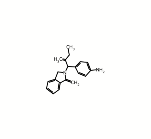 C=C(CC)C(c1ccc(N)cc1)N1Cc2ccccc2C1=C